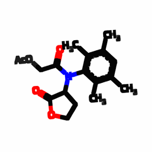 CC(=O)OCC(=O)N(c1c(C)c(C)cc(C)c1C)C1CCOC1=O